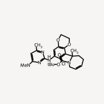 CNc1cc(C)nc(Nc2cc3c(c(C4(C)CCC=CCN4C(=O)OC(C)(C)C)c2Cl)OCCO3)n1